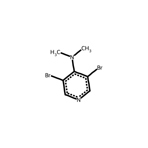 CN(C)c1c(Br)cncc1Br